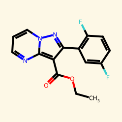 CCOC(=O)c1c(-c2cc(F)ccc2F)nn2cccnc12